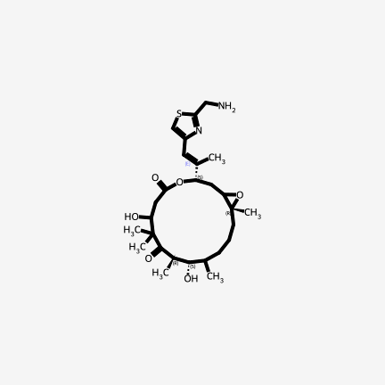 C/C(=C\c1csc(CN)n1)[C@@H]1CC2O[C@]2(C)CCCC(C)[C@H](O)[C@@H](C)C(=O)C(C)(C)C(O)CC(=O)O1